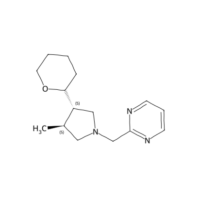 C[C@@H]1CN(Cc2ncccn2)C[C@H]1C1CCCCO1